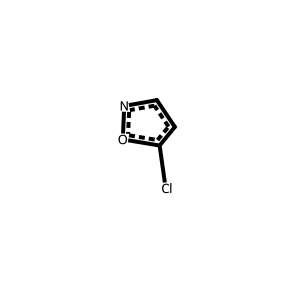 Clc1ccno1